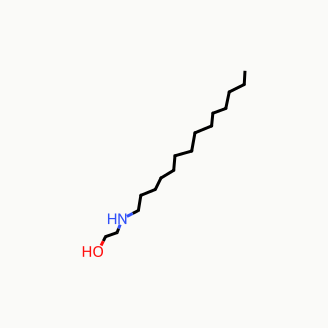 CCCCCCCCCCCCCCNCCO